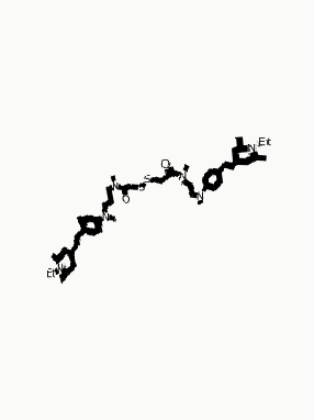 CC[n+]1c(C)cc(/C=C/c2ccc(N(C)CCCN(C)C(=O)CSSCC(=O)N(C)CCCN(C)c3ccc(/C=C/C4=CC5C[N+]5(CC)C(C)=C4)cc3)cc2)cc1C